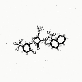 CC1=NN(c2cc(S(=O)(=O)[O-])ccc2Cl)C(=O)C1N=Nc1ccc2ccccc2c1S(=O)(=O)[O-].[Na+].[Na+]